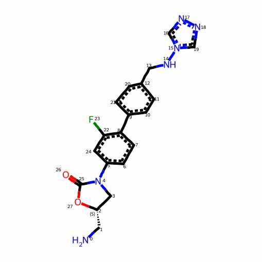 NC[C@H]1CN(c2ccc(-c3ccc(CNn4cnnc4)cc3)c(F)c2)C(=O)O1